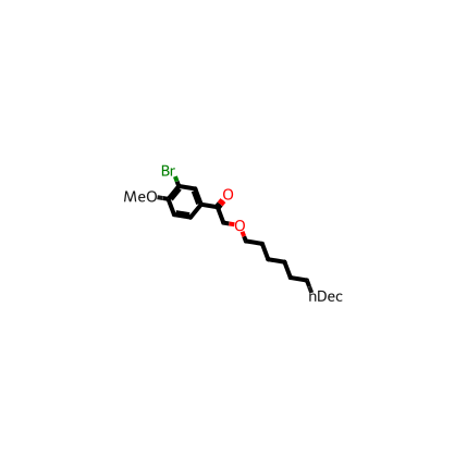 CCCCCCCCCCCCCCCCOCC(=O)c1ccc(OC)c(Br)c1